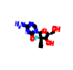 C#C[C@@]1(F)C(O)[C@@H](CO)O[C@H]1n1cnc(N)nc1=O